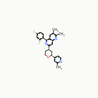 Cc1cc([C@@H]2C[C@H](c3cc4nc(C)c(C)cc4c(-c4ccc(F)cc4F)n3)CCO2)ccn1